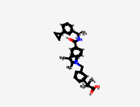 Cc1c(C)n(Cc2cccc(C(C)(C)C(=O)O)c2)c2ccc(C(=O)N[C@@H](C)c3cccc(C4CC4)c3)cc12